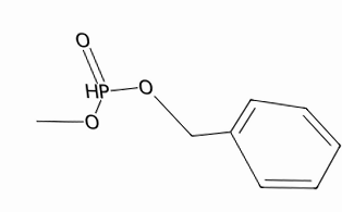 CO[PH](=O)OCc1ccccc1